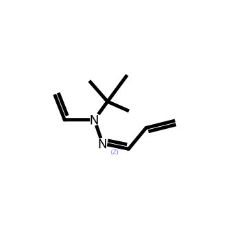 C=C/C=N\N(C=C)C(C)(C)C